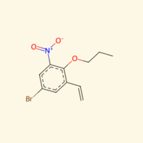 C=Cc1cc(Br)cc([N+](=O)[O-])c1OCCC